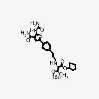 C[C@@H](OC(C)(C)C)[C@H](NC/C=C/c1ccc(-c2cc(C(N)=O)c(NC(N)=O)s2)cc1)C(=O)OC1CCCC1